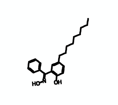 CCCCCCCCCc1ccc(O)c(C(=NO)c2ccccc2)c1